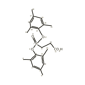 Cc1cc(C)c(OP(=O)(CCC(=O)O)Oc2c(C)cc(C)cc2C)c(C)c1